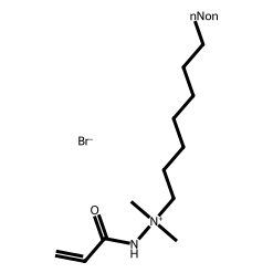 C=CC(=O)N[N+](C)(C)CCCCCCCCCCCCCCCC.[Br-]